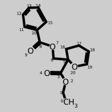 CCOC(=O)C1(COC(=O)c2ccccc2)CCC=CO1